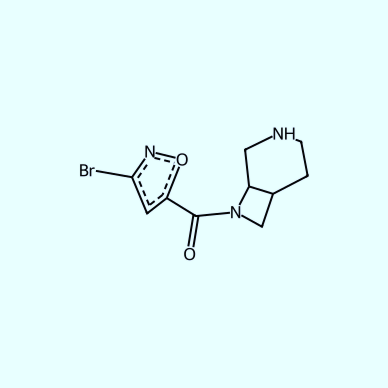 O=C(c1cc(Br)no1)N1CC2CCNCC21